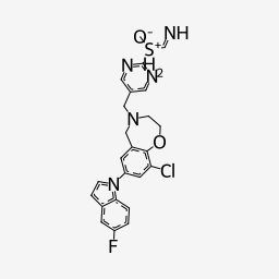 N=C[SH2+]([O-])c1ncc(CN2CCOc3c(Cl)cc(-n4ccc5cc(F)ccc54)cc3C2)cn1